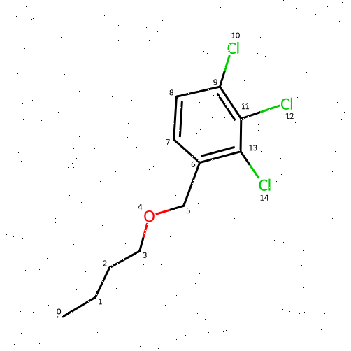 [CH2]CCCOCc1ccc(Cl)c(Cl)c1Cl